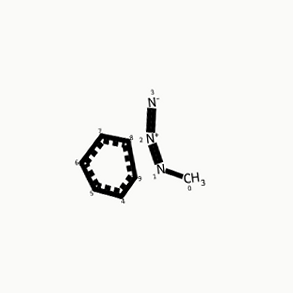 CN=[N+]=[N-].c1ccccc1